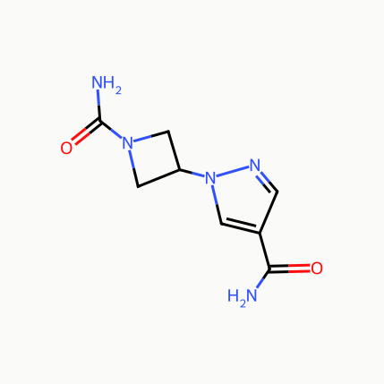 NC(=O)c1cnn(C2CN(C(N)=O)C2)c1